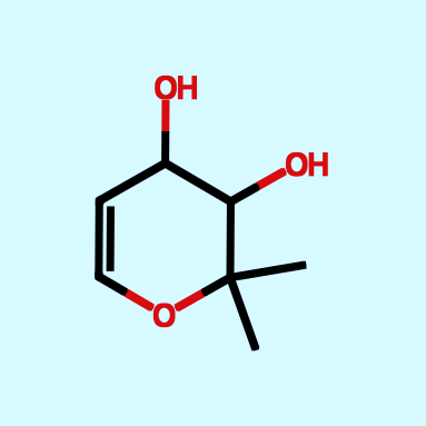 CC1(C)OC=CC(O)C1O